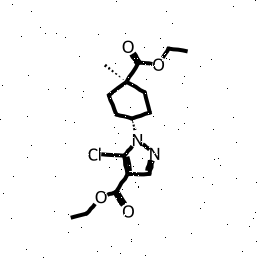 CCOC(=O)c1cnn([C@H]2CC[C@](C)(C(=O)OCC)CC2)c1Cl